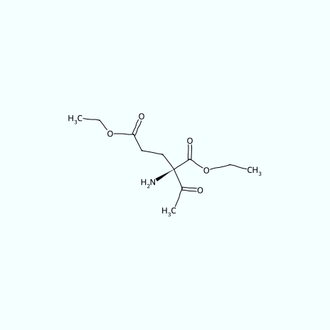 CCOC(=O)CC[C@@](N)(C(C)=O)C(=O)OCC